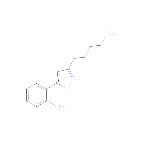 CCOC(=O)CCCCc1cc(-c2ccccc2OC)on1